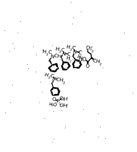 C=C(CCC)C(=O)O.CN(C)Cc1ccccc1.CN(C)Cc1ccccc1.CN(C)Cc1ccccc1.CN(C)Cc1ccccc1.O=P(O)(O)O